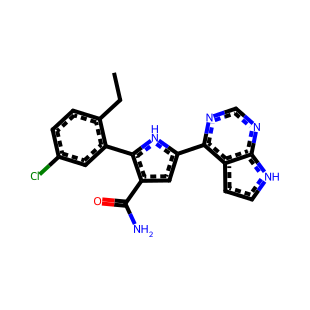 CCc1ccc(Cl)cc1-c1[nH]c(-c2ncnc3[nH]ccc23)cc1C(N)=O